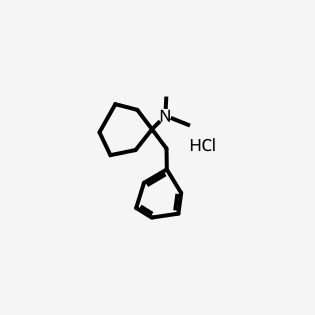 CN(C)C1(Cc2ccccc2)CCCCC1.Cl